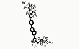 COC(=O)N[C@H](C(=O)N(C)[C@@H](C)c1nc(-c2ccc3cc(-c4ccc(-c5c[nH]c([C@H](C)N(C)C(=O)[C@H](C(C)C)N(C)C(=O)O)n5)cc4)ccc3c2)c[nH]1)C(C)C